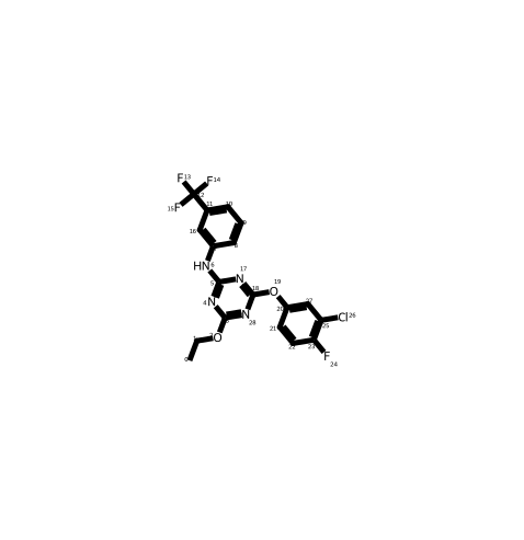 CCOc1nc(Nc2cccc(C(F)(F)F)c2)nc(Oc2ccc(F)c(Cl)c2)n1